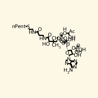 CC(=O)C(O)O.CCCCCSCCNC(=O)CCNC(=O)C(O)C(C)(C)COP(=O)(O)OP(=O)(O)OC[C@H]1O[C@@H](n2cnc3c(N)ncnc32)[C@H](O)[C@@H]1OP(=O)(O)O